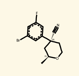 C[C@H]1C[C@@](C#N)(c2cc(F)cc(Br)c2)CCO1